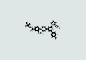 Cc1cc(C(=O)NCC(F)(F)F)cnc1N1CCN(c2cc(-c3ccc(F)cc3)nc(N3CCCC3C)n2)CC1